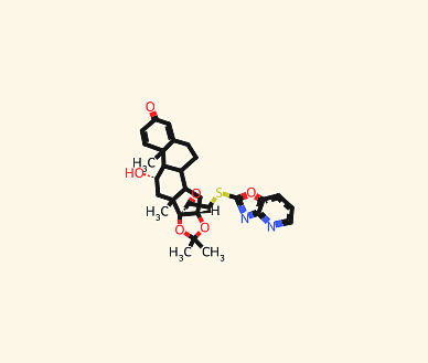 CC1(C)O[C@H]2CC3C4CCC5=CC(=O)C=CC5(C)C4[C@@H](O)CC3(C)[C@]2(C(=O)CSc2nc3ncccc3o2)O1